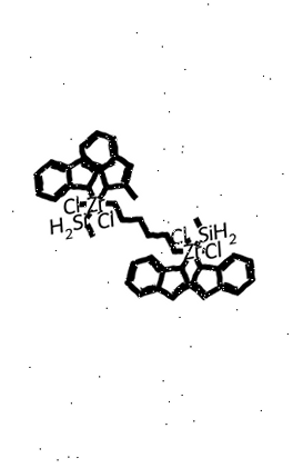 C[SiH2][Zr]([Cl])([Cl])([CH2]CCCC[CH2][Zr]([Cl])([Cl])([SiH2]C)([CH]1C(C)=Cc2ccccc21)[CH]1C(C)=Cc2ccccc21)([CH]1C(C)=Cc2ccccc21)[CH]1C(C)=Cc2ccccc21